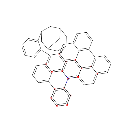 c1ccc(-c2ccccc2-c2ccccc2-c2ccccc2N(c2ccc3c(c2)C2CC4CC(CC(C4)c4ccccc4-3)C2)c2ccccc2-c2cccc3cccc(-c4ccccc4)c23)cc1